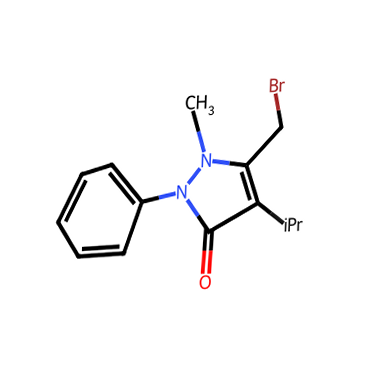 CC(C)c1c(CBr)n(C)n(-c2ccccc2)c1=O